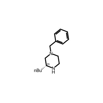 CCCC[C@@H]1CN(Cc2ccccc2)CCN1